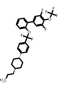 CCC[C@H]1CC[C@H](c2ccc(C(F)(F)Oc3ccccc3-c3cc(F)c(OC(F)(F)F)c(F)c3)cc2)CC1